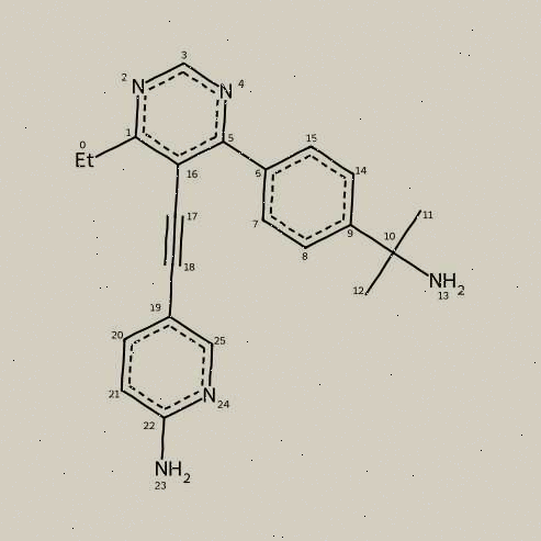 CCc1ncnc(-c2ccc(C(C)(C)N)cc2)c1C#Cc1ccc(N)nc1